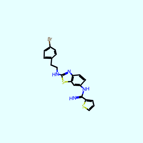 N=C(Nc1ccc2nc(NCCc3ccc(Br)cc3)sc2c1)c1cccs1